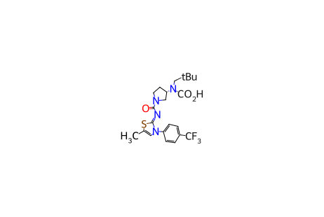 Cc1cn(-c2ccc(C(F)(F)F)cc2)c(=NC(=O)N2CC[C@H](N(CC(C)(C)C)C(=O)O)C2)s1